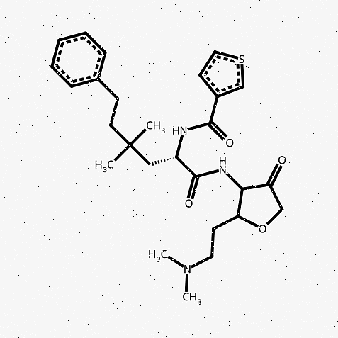 CN(C)CCC1OCC(=O)C1NC(=O)[C@H](CC(C)(C)CCc1ccccc1)NC(=O)c1ccsc1